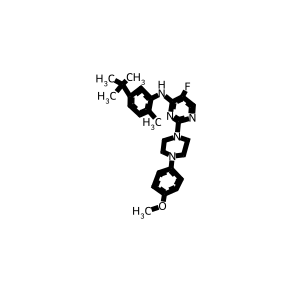 COc1ccc(N2CCN(c3ncc(F)c(Nc4cc(C(C)(C)C)ccc4C)n3)CC2)cc1